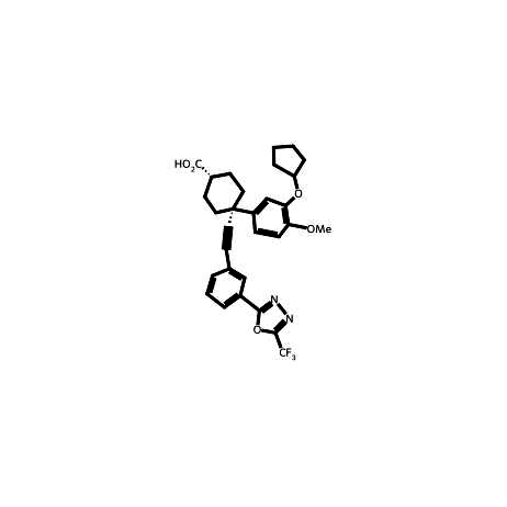 COc1ccc([C@]2(C#Cc3cccc(-c4nnc(C(F)(F)F)o4)c3)CC[C@@H](C(=O)O)CC2)cc1OC1CCCC1